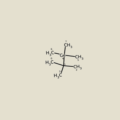 C[C](C)(C)[Ge]([CH3])([CH3])[CH3]